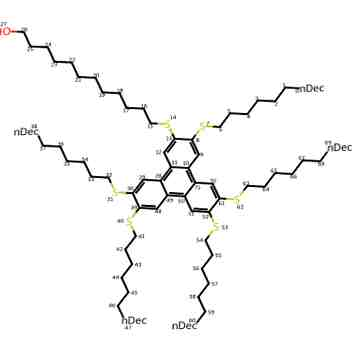 CCCCCCCCCCCCCCCCSc1cc2c(cc1SCCCCCCCCCCCCO)c1cc(SCCCCCCCCCCCCCCCC)c(SCCCCCCCCCCCCCCCC)cc1c1cc(SCCCCCCCCCCCCCCCC)c(SCCCCCCCCCCCCCCCC)cc21